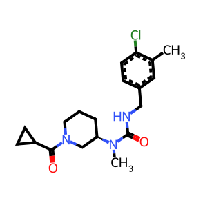 Cc1cc(CNC(=O)N(C)[C@@H]2CCCN(C(=O)C3CC3)C2)ccc1Cl